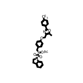 CC(=O)ON(Cc1ccc(OCc2nc(-c3ccc(C(F)(F)F)cc3)oc2C)cc1)S(=O)(=O)N1CCc2ccccc21